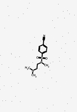 CN(C)CCN(C)S(=O)(=O)c1ccc(C#N)cc1